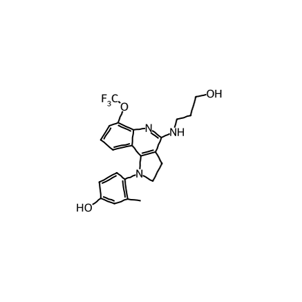 Cc1cc(O)ccc1N1CCc2c(NCCCO)nc3c(OC(F)(F)F)cccc3c21